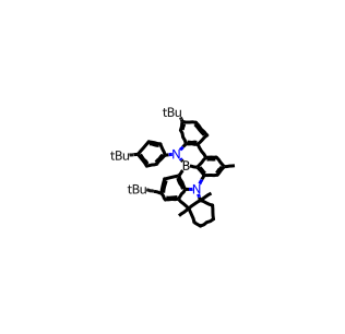 Cc1cc2c3c(c1)N1c4c(cc(C(C)(C)C)cc4C4(C)CCCCC14C)B3N(c1ccc(C(C)(C)C)cc1)c1cc(C(C)(C)C)ccc1-2